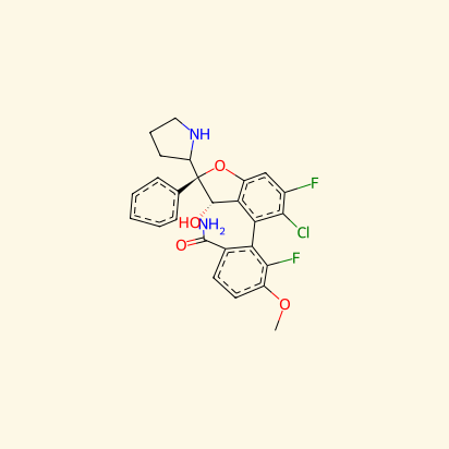 COc1ccc(C(N)=O)c(-c2c(Cl)c(F)cc3c2[C@H](O)[C@](c2ccccc2)(C2CCCN2)O3)c1F